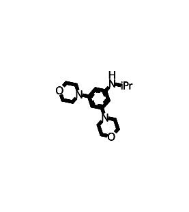 CC(C)Nc1cc(N2CCOCC2)cc(N2CCOCC2)c1